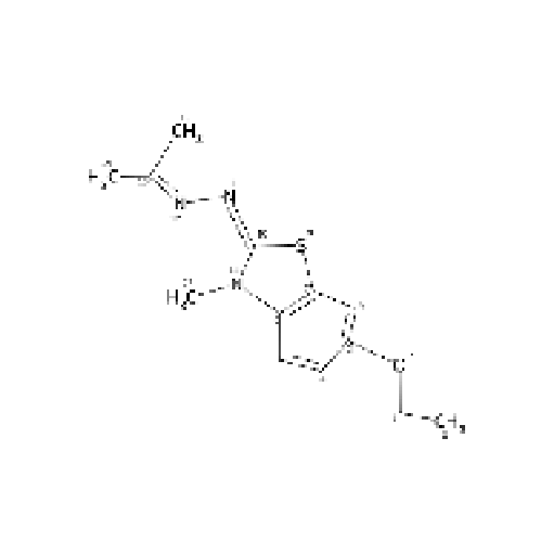 CCOc1ccc2c(c1)s/c(=N/N=C(C)C)n2C